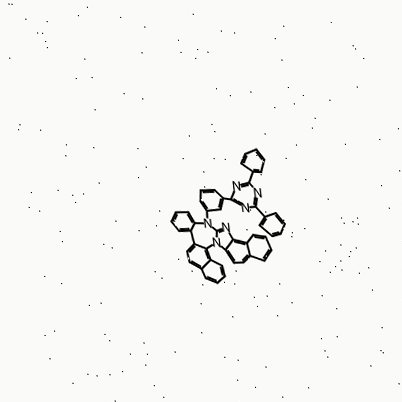 c1ccc(-c2nc(-c3ccccc3)nc(-c3cccc(N4c5ccccc5-c5ccc6ccccc6c5-n5c4nc4c6ccccc6ccc45)c3)n2)cc1